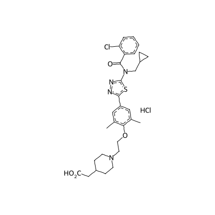 Cc1cc(-c2nnc(N(CC3CC3)C(=O)c3ccccc3Cl)s2)cc(C)c1OCCN1CCC(CC(=O)O)CC1.Cl